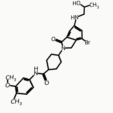 COc1cc(NC(=O)C2CCC(N3Cc4c(Br)cc(NCC(C)O)cc4C3=O)CC2)ccc1C